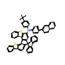 CC(C)(C)c1ccc(N(c2ccc(-c3ccc4ccccc4c3)cc2)c2cc3c(c4c2sc2ccccc24)-c2c(ccc4c2sc2ccccc24)C32c3ccccc3-c3ccccc32)cc1